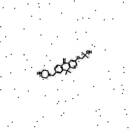 CC(C)(O)COc1ccc2c(c1)Nc1ccc(CN3CCNCC3)cc1C2(C)C